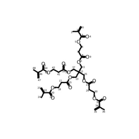 C=C(C)C(=O)OCCC(=O)OCC(COC(=O)CCOC(=O)C(=C)C)(COC(=O)CCOC(=O)C(=C)C)COC(=O)CCOC(=O)C(=C)C